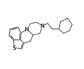 c1cc2c3c(csc3c1)CC1CN(CCC3CCCCC3)CCN21